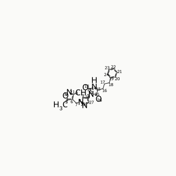 Cc1noc(C)c1Cn1cc(N2C(=O)NC(CCCc3ccccc3)C2=O)cn1